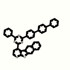 c1ccc(-c2ccc(-c3ccc(-c4nc(-c5ccccc5)nc(-c5ccnc6oc7cc8ccccc8cc7c56)n4)cc3)cc2)cc1